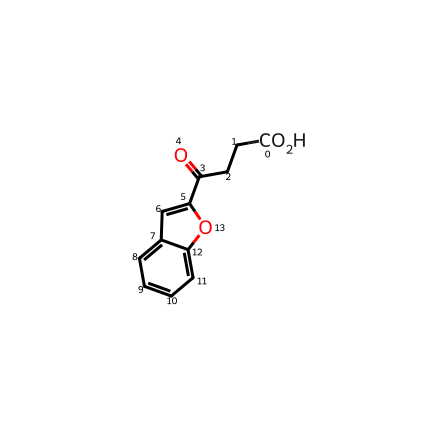 O=C(O)CCC(=O)c1cc2ccccc2o1